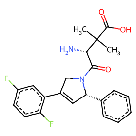 CC(C)(C(=O)O)[C@@H](N)C(=O)N1CC(c2cc(F)ccc2F)=C[C@H]1c1ccccc1